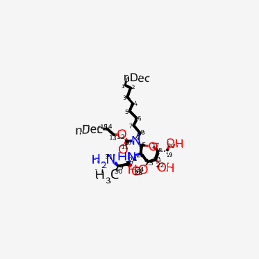 CCCCCCCCCCCCCCCCCCN(C(=O)OCCCCCCCCCCCC)[C@@H]1O[C@H](CO)[C@@H](O)[C@H](O)[C@H]1NC(=O)[C@H](C)N